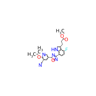 CCOC(=O)CCc1c[nH]c2c(-c3noc(-c4cnc(OC(C)C)c(C#N)c4)n3)ccc(F)c12